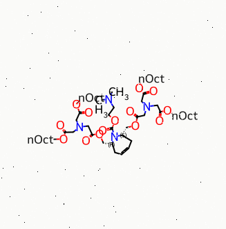 CCCCCCCCOC(=O)CN(CC(=O)OCCCCCCCC)CC(=O)OC[C@H]1CC=CC[C@@H](COC(=O)CN(CC(=O)OCCCCCCCC)CC(=O)OCCCCCCCC)N1C(=O)OCCN(C)C